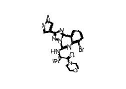 CC(C)[C@@H](Nc1nc2c(Br)cccc2c2nc(-c3cnn(C)c3)nn12)C(=O)N1CCOCC1